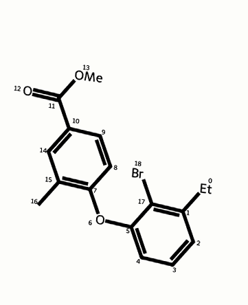 CCc1cccc(Oc2ccc(C(=O)OC)cc2C)c1Br